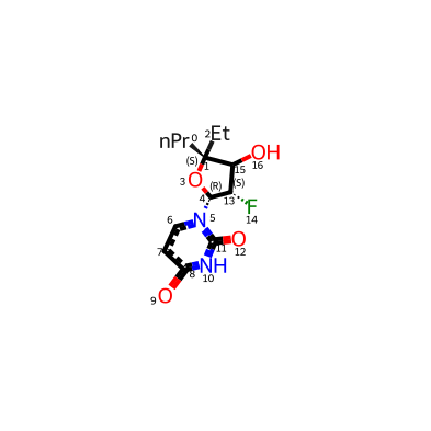 CCC[C@]1(CC)O[C@@H](n2ccc(=O)[nH]c2=O)[C@@H](F)C1O